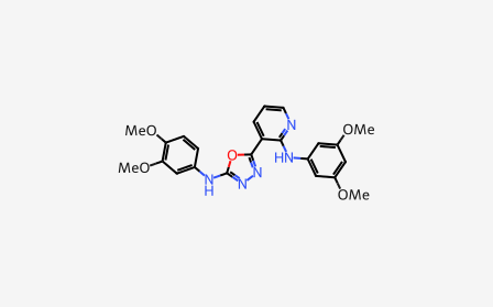 COc1cc(Nc2ncccc2-c2nnc(Nc3ccc(OC)c(OC)c3)o2)cc(OC)c1